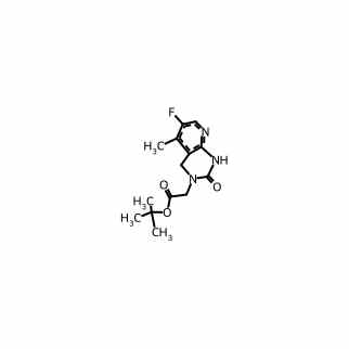 Cc1c(F)cnc2c1CN(CC(=O)OC(C)(C)C)C(=O)N2